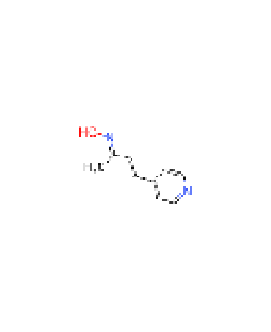 CC(/C=C/c1ccncc1)=N\O